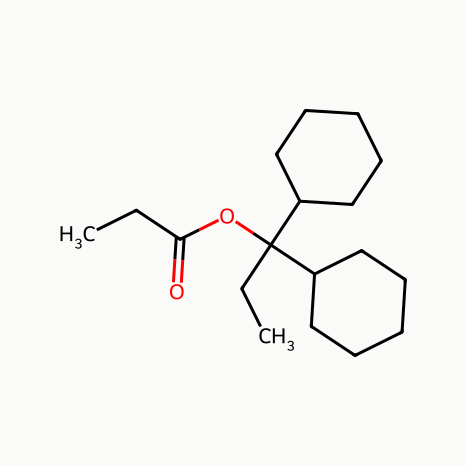 CCC(=O)OC(CC)(C1CCCCC1)C1CCCCC1